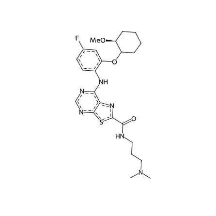 CO[C@H]1CCCCC1Oc1cc(F)ccc1Nc1ncnc2sc(C(=O)NCCCN(C)C)nc12